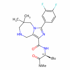 CNC(=O)[C@@H](NC(=O)c1nc(-c2ccc(F)c(F)c2)n2c1CNCC(C)(C)C2)C(C)(C)C